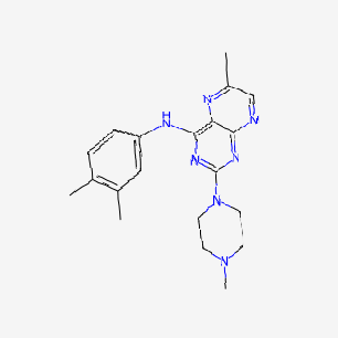 Cc1cnc2nc(N3CCN(C)CC3)nc(Nc3ccc(C)c(C)c3)c2n1